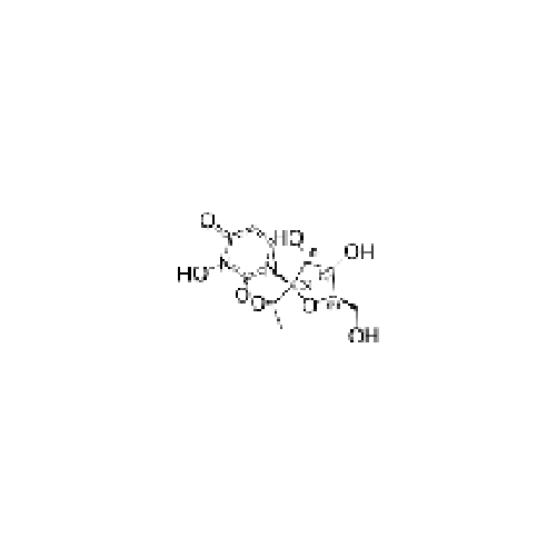 CC(=O)[C@@]1(n2ccc(=O)n(O)c2=O)O[C@H](CO)[C@@H](O)[C@H]1O